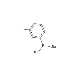 Cc1cccc(P(C(C)(C)C)C(C)(C)C)c1